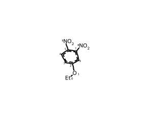 [CH2]COc1ccc([N+](=O)[O-])c([N+](=O)[O-])c1